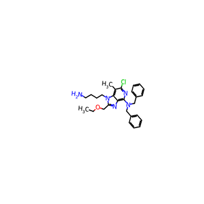 CCOCc1nc2c(N(Cc3ccccc3)Cc3ccccc3)nc(Cl)c(C)c2n1CCCCN